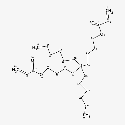 C=CC(=O)OCCCCC(CCCCCC)(CCCCCC)CCCCOC(=O)C=C